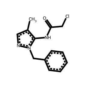 Cc1cnn(Cc2ccccc2)c1NC(=O)CCl